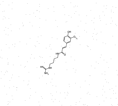 COc1cc(/C=C/C(=O)NCCCCNC(=N)N)ccc1O